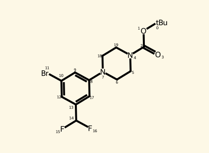 CC(C)(C)OC(=O)N1CCN(c2cc(Br)cc(C(F)F)c2)CC1